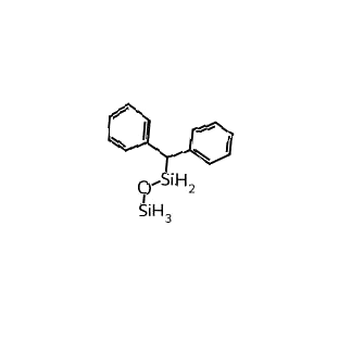 [SiH3]O[SiH2]C(c1ccccc1)c1ccccc1